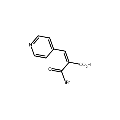 CC(C)C(=O)C(=Cc1ccncc1)C(=O)O